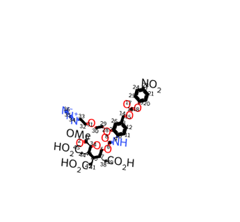 COC(=O)[C@H]1O[C@@H](OC(=O)Nc2ccc(COC(=O)Oc3ccc([N+](=O)[O-])cc3)cc2OCCOCCN=[N+]=[N-])[C@H](CC(=O)O)[C@@H](CC(=O)O)[C@@H]1CC(=O)O